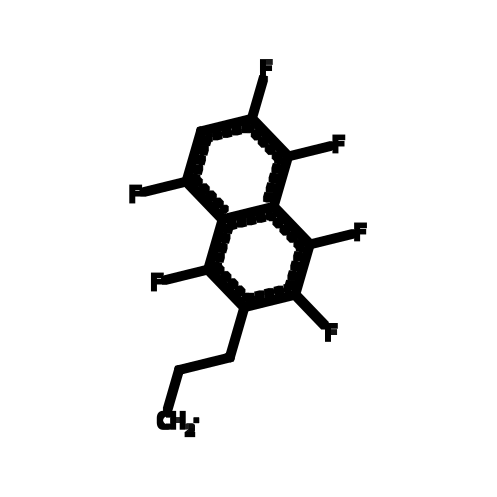 [CH2]CCc1c(F)c(F)c2c(F)c(F)cc(F)c2c1F